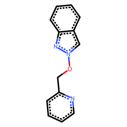 c1ccc(COn2cc3ccccc3n2)nc1